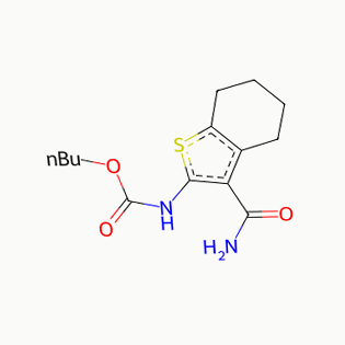 CCCCOC(=O)Nc1sc2c(c1C(N)=O)CCCC2